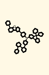 c1ccc(-c2ccccc2-c2ccccc2-c2ccc(N(c3ccc(-c4ccc5oc6c(-c7ccccc7)cccc6c5c4)cc3)c3ccc4c(c3)-c3ccccc3C4(c3ccccc3)c3ccccc3)cc2)cc1